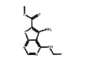 CCNc1ncnc2sc(C(=O)OC)c(N)c12